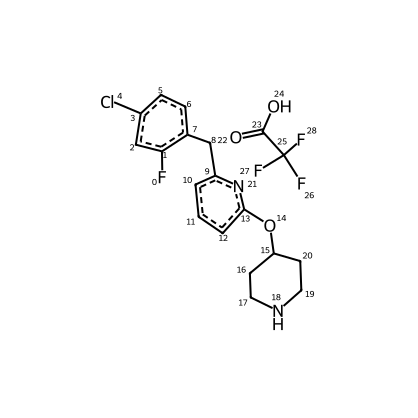 Fc1cc(Cl)ccc1Cc1cccc(OC2CCNCC2)n1.O=C(O)C(F)(F)F